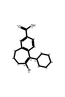 O=C(O)c1ccc2c(c1)CCCC(Br)=C2C1CCCCC1